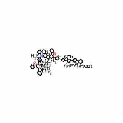 CCCCCCCC1(CCCCCCC)c2ccccc2-c2ccc(-c3ccc4c(c3)C(C)(C)c3cc(-c5ccc(-c6cc7c(c8c6oc6ccccc68)-c6ccc(N(c8ccc9c(c8)C(C)(C)C8C9C9Oc%10ccccc%10C9=C9c%10ccccc%10C(C)(C)C98)c8c(C)cccc8C)cc6C7(C)C)cc5)ccc3-4)cc21